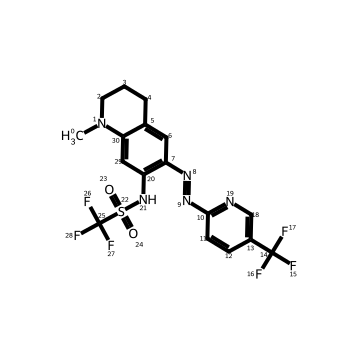 CN1CCCc2cc(/N=N/c3ccc(C(F)(F)F)cn3)c(NS(=O)(=O)C(F)(F)F)cc21